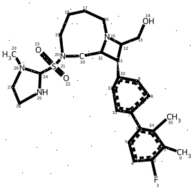 Cc1c(F)ccc(-c2ccc([C@@H]3C(CO)N4CCCCN(S(=O)(=O)C5NCCN5C)CC34)cc2)c1C